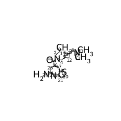 CCCN(CC12CC(CN(C)C)(C1)C2)C(=O)C1=Cc2sccc2N=C(N)C1